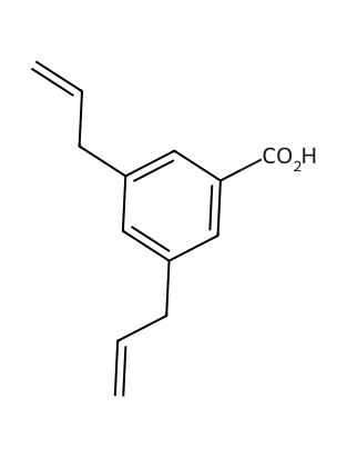 C=CCc1cc(CC=C)cc(C(=O)O)c1